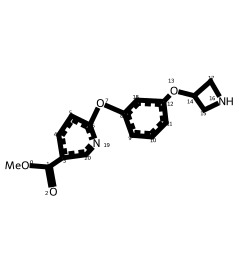 COC(=O)c1ccc(Oc2cccc(OC3CNC3)c2)nc1